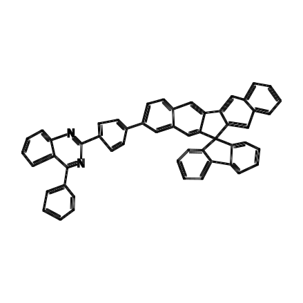 c1ccc(-c2nc(-c3ccc(-c4ccc5cc6c(cc5c4)C4(c5ccccc5-c5ccccc54)c4cc5ccccc5cc4-6)cc3)nc3ccccc23)cc1